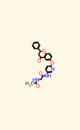 CC(=O)NCC(=O)Nc1ccc(Oc2ccc3c(c2)C(=O)CC(c2ccccc2)O3)nc1